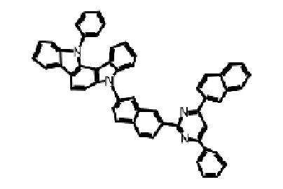 c1ccc(-c2cc(-c3ccc4ccccc4c3)nc(-c3ccc4ccc(-n5c6ccccc6c6c5ccc5c7ccccc7n(-c7ccccc7)c56)cc4c3)n2)cc1